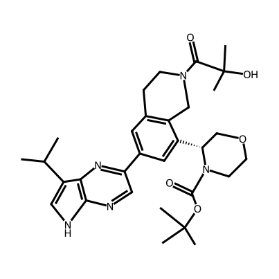 CC(C)c1c[nH]c2ncc(-c3cc4c(c([C@@H]5COCCN5C(=O)OC(C)(C)C)c3)CN(C(=O)C(C)(C)O)CC4)nc12